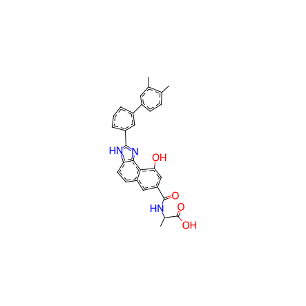 Cc1ccc(-c2cccc(-c3nc4c(ccc5cc(C(=O)NC(C)C(=O)O)cc(O)c54)[nH]3)c2)cc1C